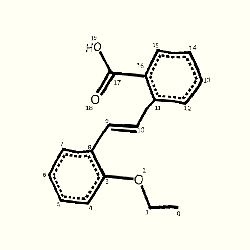 CCOc1ccccc1C=Cc1ccccc1C(=O)O